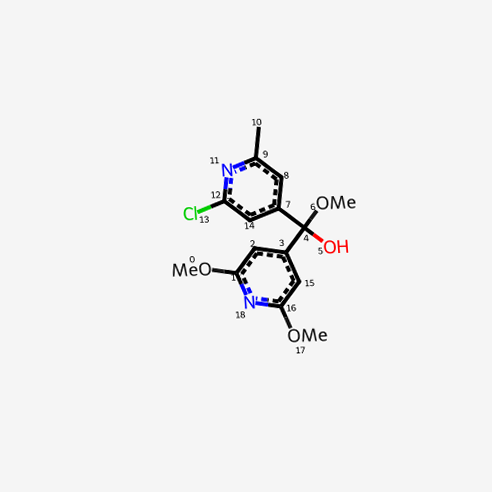 COc1cc(C(O)(OC)c2cc(C)nc(Cl)c2)cc(OC)n1